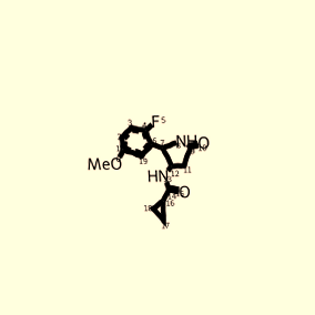 COc1ccc(F)c(C2NC(=O)CC2NC(=O)C2CC2)c1